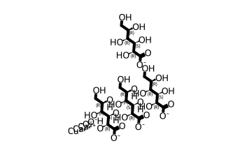 O=C([O-])[C@H](O)[C@@H](O)[C@H](O)[C@H](O)CO.O=C([O-])[C@H](O)[C@@H](O)[C@H](O)[C@H](O)CO.O=C([O-])[C@H](O)[C@@H](O)[C@H](O)[C@H](O)CO.O=C([O-])[C@H](O)[C@@H](O)[C@H](O)[C@H](O)CO.[Ca+2].[Ca+2].[Cu+2].[O-].[O-]